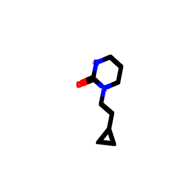 O=C1[N]CCCN1CCC1CC1